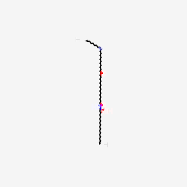 CCCCCCCC/C=C\CCCCCCCCCCCC(=O)CCCCCCCCCCCCCCCC(=O)N[C@H](CO)CCCCCCCCCCCCCCCCCC